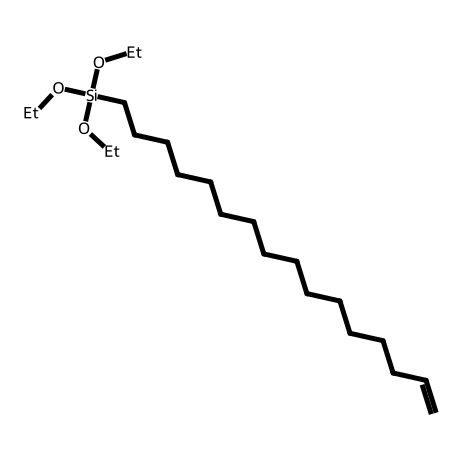 C=CCCCCCCCCCCCCCC[Si](OCC)(OCC)OCC